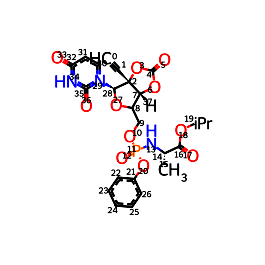 C#C[C@@]12OC(=O)O[C@@H]1C(COP(=O)(N[C@@H](C)C(=O)OC(C)C)Oc1ccccc1)O[C@H]2n1ccc(=O)[nH]c1=O